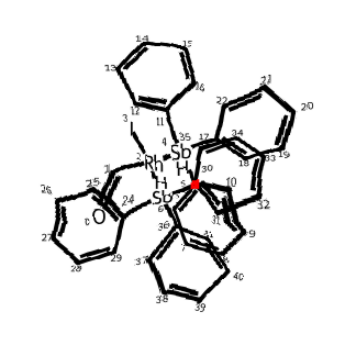 O=[CH][Rh]([I])([SbH]([c]1ccccc1)([c]1ccccc1)[c]1ccccc1)[SbH]([c]1ccccc1)([c]1ccccc1)[c]1ccccc1